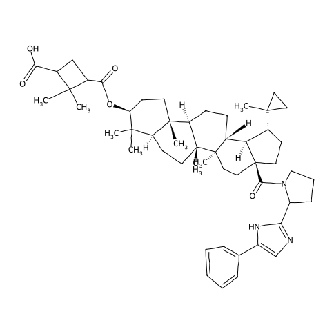 CC1(C)C(C(=O)O)CC1C(=O)O[C@H]1CC[C@]2(C)[C@H]3CC[C@@H]4[C@H]5[C@H](C6(C)CC6)CC[C@]5(C(=O)N5CCCC5c5ncc(-c6ccccc6)[nH]5)CC[C@@]4(C)[C@]3(C)CC[C@H]2C1(C)C